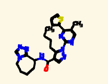 CCCCc1c(C(=O)NC2CCCCn3cnnc32)cnn1-c1ncc(C)c(-c2cccs2)n1